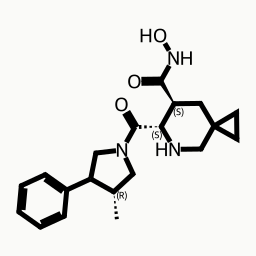 C[C@H]1CN(C(=O)[C@H]2NCC3(CC3)C[C@@H]2C(=O)NO)CC1c1ccccc1